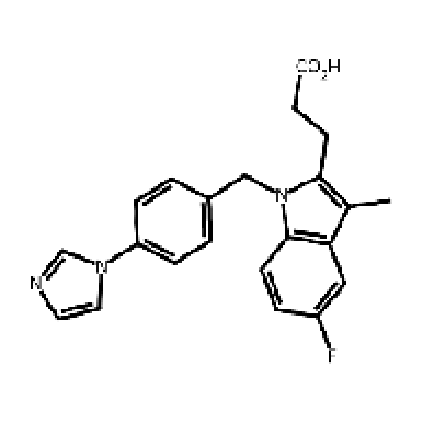 Cc1c(CCC(=O)O)n(Cc2ccc(-n3ccnc3)cc2)c2ccc(F)cc12